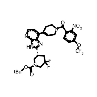 CC(C)(C)OC(=O)N1C[C@H](c2nc3c(C4=CCN(C(=O)c5ccc(OC(F)(F)F)cc5[N+](=O)[O-])CC4)ccnc3[nH]2)CC(F)(F)C1